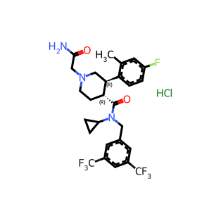 Cc1cc(F)ccc1[C@@H]1CN(CC(N)=O)CC[C@H]1C(=O)N(Cc1cc(C(F)(F)F)cc(C(F)(F)F)c1)C1CC1.Cl